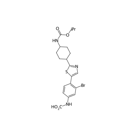 CC(C)OC(=O)NC1CCC(c2ncc(-c3ccc(NC(=O)O)cc3Br)s2)CC1